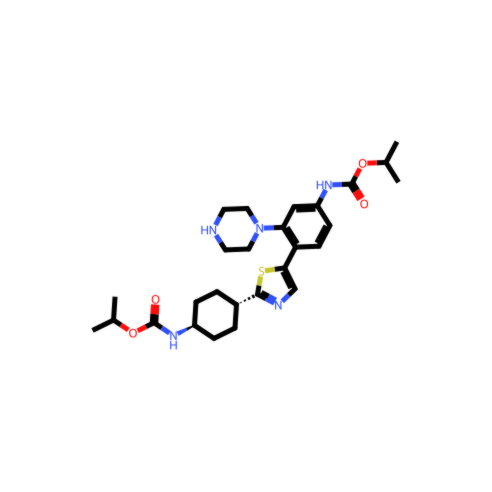 CC(C)OC(=O)Nc1ccc(-c2cnc([C@H]3CC[C@H](NC(=O)OC(C)C)CC3)s2)c(N2CCNCC2)c1